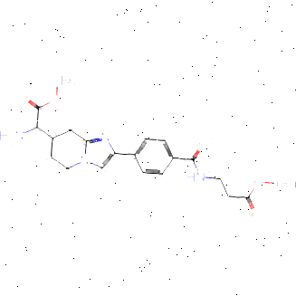 CC(C)(C)OC(=O)CCNC(=O)c1ccc(-c2cn3c(n2)CC(C(N)C(=O)OC(C)(C)C)CC3)cc1